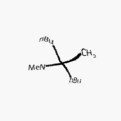 CCCCC(C)(CCCC)NC